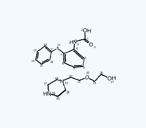 O=C(O)Nc1ccccc1Sc1ccccc1.OCCOCCN1CCNCC1